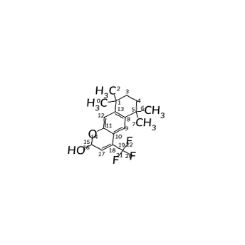 CC1(C)CCC(C)(C)c2cc3c(cc21)OC(O)C=C3C(F)(F)F